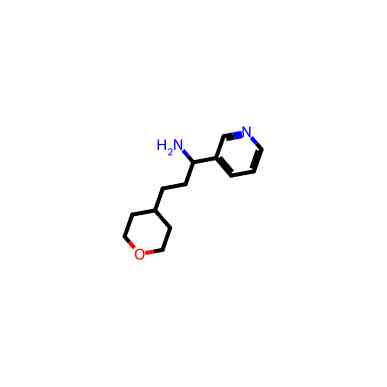 NC(CCC1CCOCC1)c1cccnc1